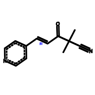 CC(C)(C#N)C(=O)/C=C/c1ccncc1